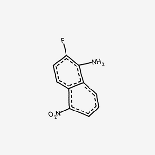 Nc1c(F)ccc2c([N+](=O)[O-])cccc12